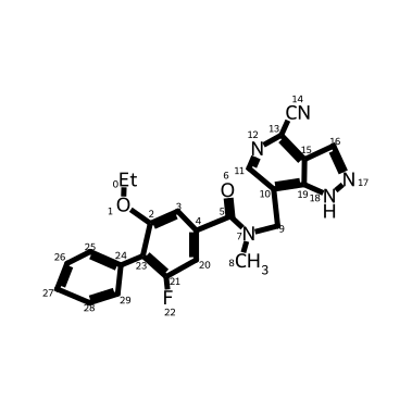 CCOc1cc(C(=O)N(C)Cc2cnc(C#N)c3cn[nH]c23)cc(F)c1-c1ccccc1